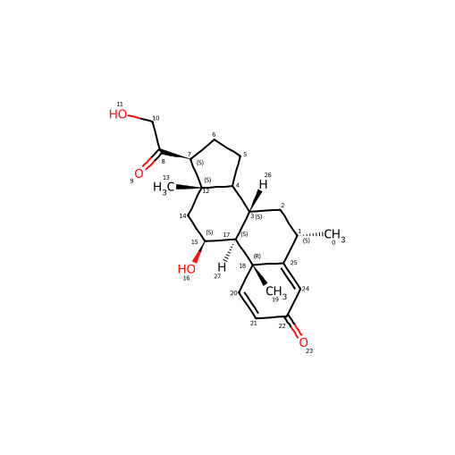 C[C@H]1C[C@H]2C3CC[C@H](C(=O)CO)[C@@]3(C)C[C@H](O)[C@@H]2[C@@]2(C)C=CC(=O)C=C12